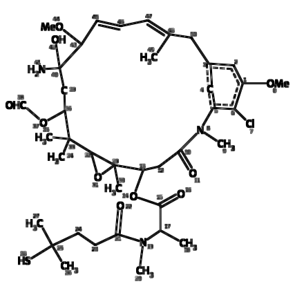 COc1cc2cc(c1Cl)N(C)C(=O)CC(OC(=O)C(C)N(C)C(=O)CCC(C)(C)S)C1(C)OC1C(C)(C)C(OC=O)CC(N)(O)C(OC)/C=C/C=C(\C)C2